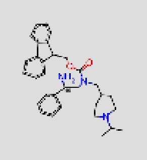 CC(C)N1CCC(CN(C[C@H](N)c2ccccc2)C(=O)OCC2c3ccccc3-c3ccccc32)CC1